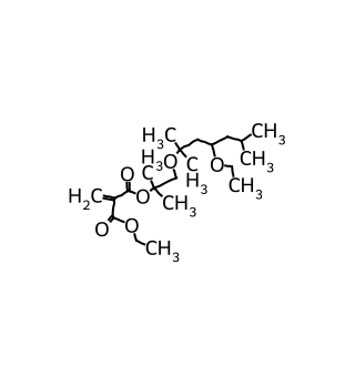 C=C(C(=O)OCC)C(=O)OC(C)(C)COC(C)(C)CC(CC(C)C)OCC